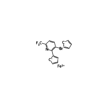 FC(F)(F)c1ccc(Br)c(-c2ccc[cH-]2)n1.[Fe+2].c1cc[cH-]c1